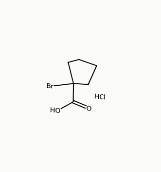 Cl.O=C(O)C1(Br)CCCC1